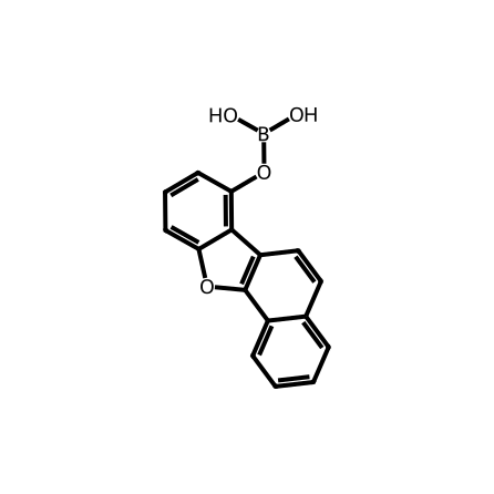 OB(O)Oc1cccc2oc3c4ccccc4ccc3c12